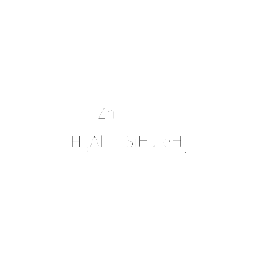 [AlH3].[SiH4].[TeH2].[Zn]